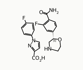 NC(=O)c1ccc([C@H]2CNCCO2)cc1F.O=C(O)c1ccn(-c2ccc(F)cc2)n1